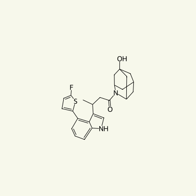 CC(CC(=O)N1C2CC3CC1CC(O)(C3)C2)c1c[nH]c2cccc(-c3ccc(F)s3)c12